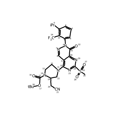 CC(C)c1cccc(-n2ncc3c(N4CCN(C(=O)OC(C)(C)C)C(CC#N)C4)nc(S(C)(=O)=O)nc3c2=O)c1C(F)(F)F